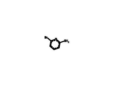 Bc1cccc(Br)n1